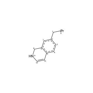 CC(C)Cc1ccc2c(c1)CNC=C2